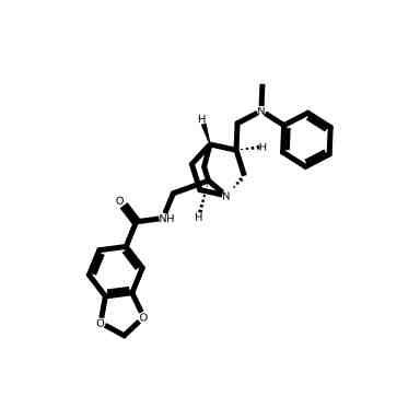 CN(C[C@H]1C[N@]2CC[C@H]1C[C@@H]2CNC(=O)c1ccc2c(c1)OCO2)c1ccccc1